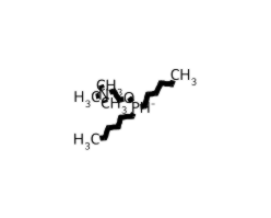 CCCCCC[PH-](CCCCCC)OCC[N+](C)(C)C